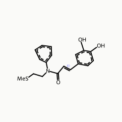 CSCCN(C(=O)/C=C/c1ccc(O)c(O)c1)c1ccccc1